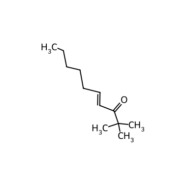 CCCCCC=CC(=O)C(C)(C)C